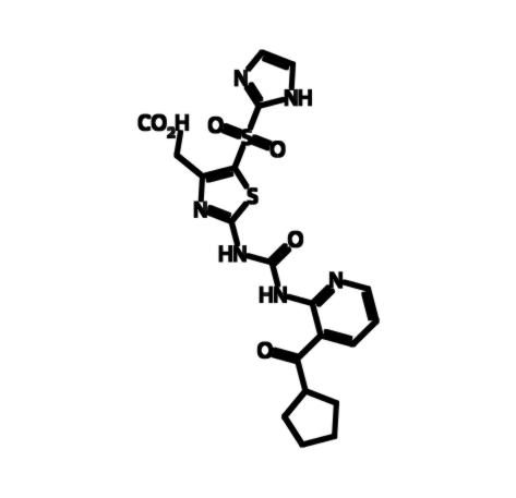 O=C(O)Cc1nc(NC(=O)Nc2ncccc2C(=O)C2CCCC2)sc1S(=O)(=O)c1ncc[nH]1